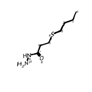 CCCCSCCC(=O)NN